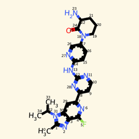 Cc1nc2c(F)nc(-c3ccnc(Nc4ccc(N5CCCC(N)C5=O)cn4)n3)cc2n1C(C)C